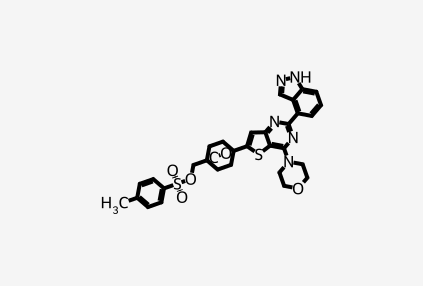 Cc1ccc(S(=O)(=O)OCC23CCC(c4cc5nc(-c6cccc7[nH]ncc67)nc(N6CCOCC6)c5s4)(CC2)OC3)cc1